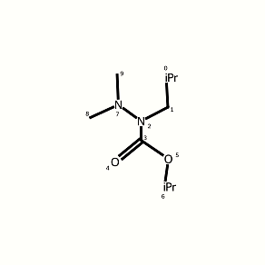 CC(C)CN(C(=O)OC(C)C)N(C)C